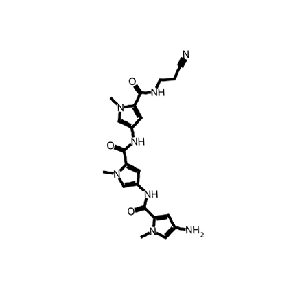 Cn1cc(NC(=O)c2cc(NC(=O)c3cc(N)cn3C)cn2C)cc1C(=O)NCCC#N